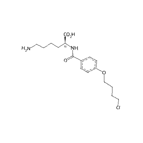 NCCCC[C@H](NC(=O)c1ccc(OCCCCCl)cc1)C(=O)O